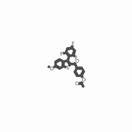 COc1ccc2c(-c3c(F)cc(F)cc3F)c(C(=O)c3ccc(OC(C)=O)cc3)sc2c1